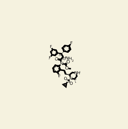 COC(=O)N(C(=O)[C@@H](N)[C@@H](c1ccc(F)cc1)c1cc(F)cc(F)c1)c1cccc(F)c1CC[C@H]1CNC[C@H](C)N1S(=O)(=O)C1CC1